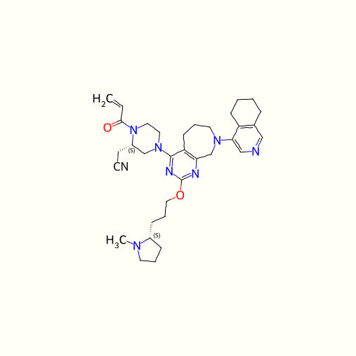 C=CC(=O)N1CCN(c2nc(OCCC[C@@H]3CCCN3C)nc3c2CCCN(c2cncc4c2CCCC4)C3)C[C@@H]1CC#N